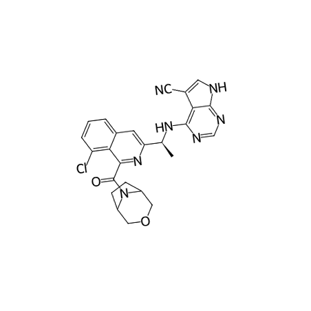 C[C@H](Nc1ncnc2[nH]cc(C#N)c12)c1cc2cccc(Cl)c2c(C(=O)N2C3CCC2COC3)n1